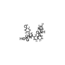 COc1ccc(-c2sc(-c3ccc4c(c3)N(C(=O)Nc3ncc(C)s3)CCC4)nc2OC(=O)O)cc1